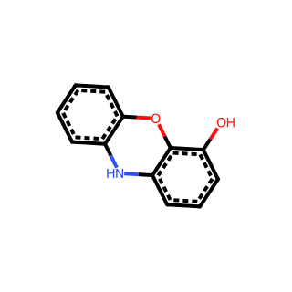 Oc1cccc2c1Oc1ccccc1N2